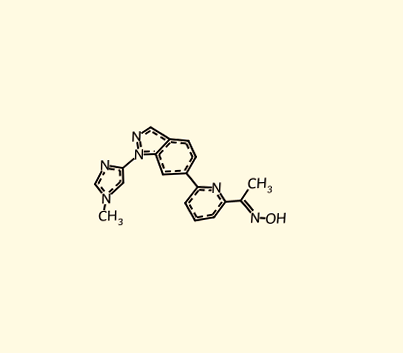 C/C(=N\O)c1cccc(-c2ccc3cnn(-c4cn(C)cn4)c3c2)n1